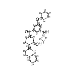 O=C(c1cc(NC2CCC2)nc(Oc2ccccc2)n1)N1CC[C@@H](N2CCc3ccccc3C2)[C@H](O)C1